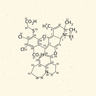 CC[N+]1=c2cc3c(cc2C(C)=CC1(C)C)=C(c1c(Cl)c(SCC(=O)O)c(Cl)c(Cl)c1C(=O)O)c1cc2c4c(c1O3)CCCN4CCCC2